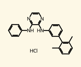 Cc1cccc(C)c1-c1cccc(Nc2nccnc2Nc2ccccc2)c1.Cl